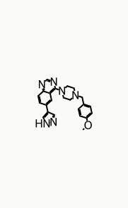 COc1ccc(CN2CCN(c3ncnc4ccc(-c5cn[nH]c5)cc34)CC2)cc1